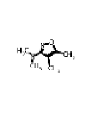 Cc1onc(N(C)C)c1C